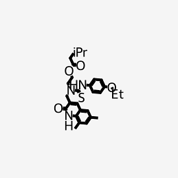 CCOc1ccc(NC(=S)N(CCOC(=O)CC(C)C)Cc2cc3cc(C)cc(C)c3[nH]c2=O)cc1